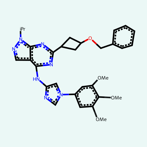 COc1cc(-n2cnc(Nc3nc(C4CC(OCc5ccccc5)C4)nc4c3cnn4C(C)C)c2)cc(OC)c1OC